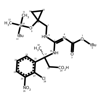 CC(C)(C)OC(=O)/N=C(/NCC1(O[Si](C)(C)C(C)(C)C)CC1)N[C@@](C)(CC(=O)O)c1cccc([N+](=O)[O-])c1Cl